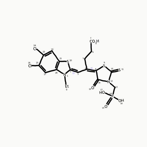 CCN1/C(=C/C(CCC(=O)O)=C2/SC(=S)N(CP(=O)(O)O)C2=O)Sc2cc(Cl)c(Cl)cc21